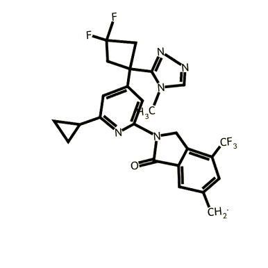 [CH2]c1cc2c(c(C(F)(F)F)c1)CN(c1cc(C3(c4nncn4C)CC(F)(F)C3)cc(C3CC3)n1)C2=O